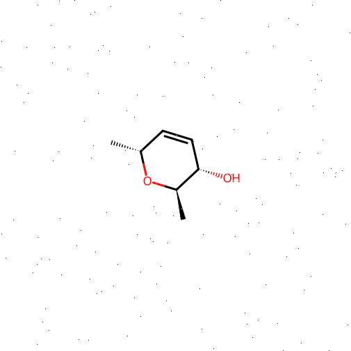 C[C@@H]1C=C[C@H](O)[C@@H](C)O1